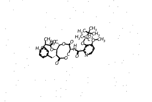 COc1ccnc(C(=O)N[C@H]2COC(=O)[C@H](Cc3ccccc3)[C@@H](OC(=O)C(C)C)[C@H](C)OC2=O)c1O[Si](C)(C)C(C)(C)C